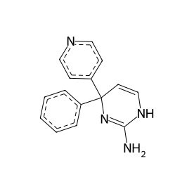 NC1=NC(c2ccccc2)(c2ccncc2)C=CN1